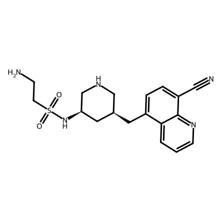 N#Cc1ccc(C[C@@H]2CNC[C@H](NS(=O)(=O)CCN)C2)c2cccnc12